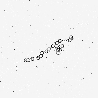 CCC(=O)OCCCCCCOc1ccc(-c2ccc(C3CCC(OCc4ccc5cc(OCCCOCC6CCC7OC7C6)ccc5c4)CC3)cc2/C=N/N(c2nc3ccccc3s2)C2CCCCC2)cc1